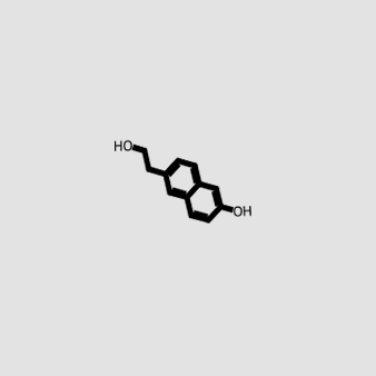 OCCc1ccc2cc(O)ccc2c1